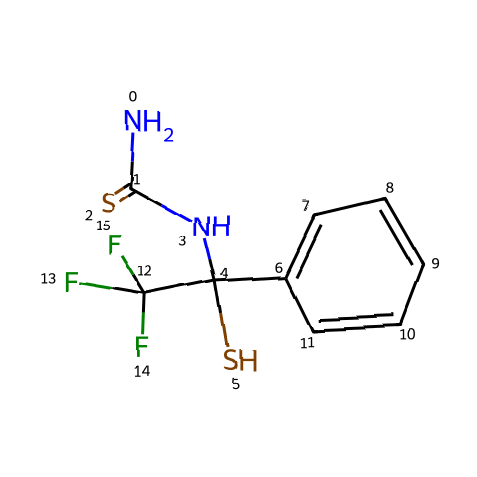 NC(=S)NC(S)(c1ccccc1)C(F)(F)F